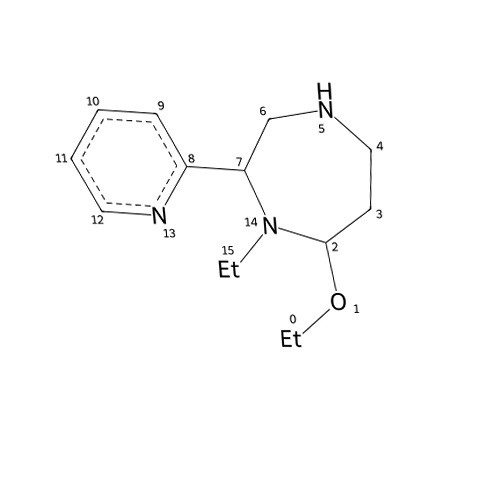 CCOC1CCNCC(c2ccccn2)N1CC